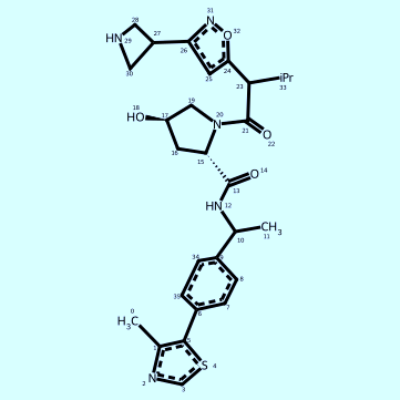 Cc1ncsc1-c1ccc(C(C)NC(=O)[C@@H]2C[C@@H](O)CN2C(=O)C(c2cc(C3CNC3)no2)C(C)C)cc1